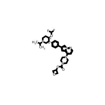 CC(C)N1CC[C@@H](OC(F)F)[C@H](c2ccc(-c3cc4c(N5CCN(C(=O)OC6COC6)CC5)ccnn4c3)cc2)C1